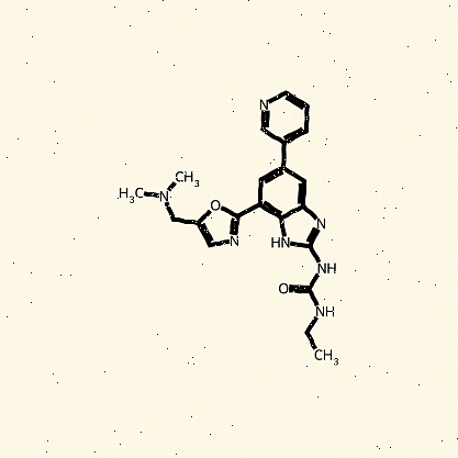 CCNC(=O)Nc1nc2cc(-c3cccnc3)cc(-c3ncc(CN(C)C)o3)c2[nH]1